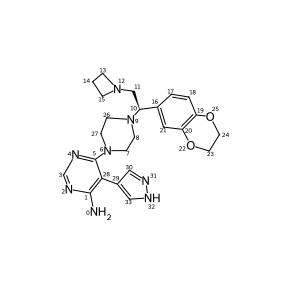 Nc1ncnc(N2CCN([C@@H](CN3CCC3)c3ccc4c(c3)OCCO4)CC2)c1-c1cn[nH]c1